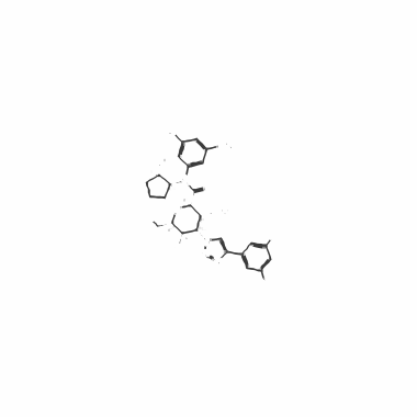 CO[C@@H]1[C@@H](n2cc(-c3cc(F)cc(Cl)c3)nn2)[C@@H](O)[C@@H](CO)O[C@H]1C(=O)N(c1cc(Br)cc(C#N)c1)[C@H]1CCC[C@@H]1O